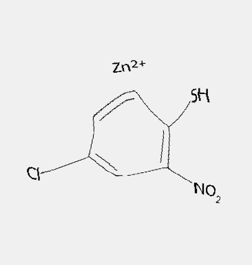 O=[N+]([O-])c1cc(Cl)ccc1S.[Zn+2]